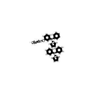 CC(=O)[O-].CC(=O)[O-].[Cu+2].[Fe+2].c1ccc(P(c2ccccc2)[c-]2cccc2)cc1.c1ccc(P(c2ccccc2)[c-]2cccc2)cc1